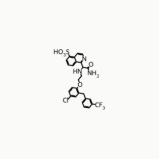 NC(=O)C(NCCOc1ccc(Cl)cc1Cc1cccc(C(F)(F)F)c1)c1nccc2c(S(=O)(=O)O)cccc12